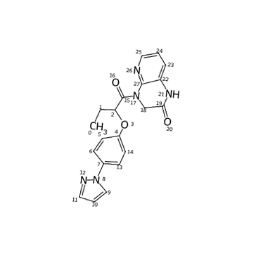 CCC(Oc1ccc(-n2cccn2)cc1)C(=O)N1CC(=O)Nc2cccnc21